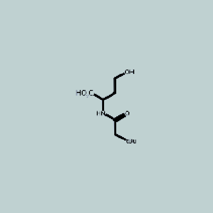 CC(C)(C)CC(=O)NC(CCO)C(=O)O